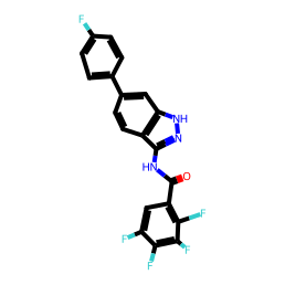 O=C(Nc1n[nH]c2cc(-c3ccc(F)cc3)ccc12)c1cc(F)c(F)c(F)c1F